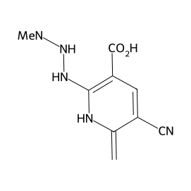 C=C1NC(NNNC)=C(C(=O)O)C=C1C#N